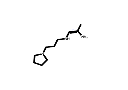 C/C(N)=C/NCCCN1CCCC1